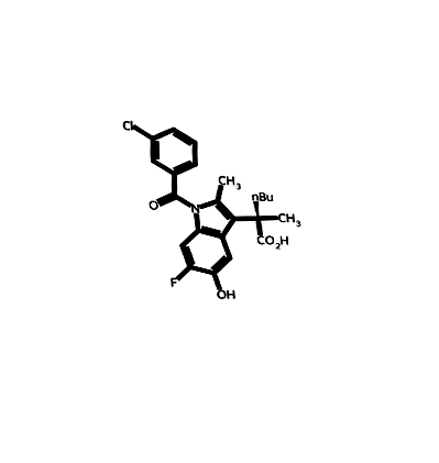 CCCC[C@@](C)(C(=O)O)c1c(C)n(C(=O)c2cccc(Cl)c2)c2cc(F)c(O)cc12